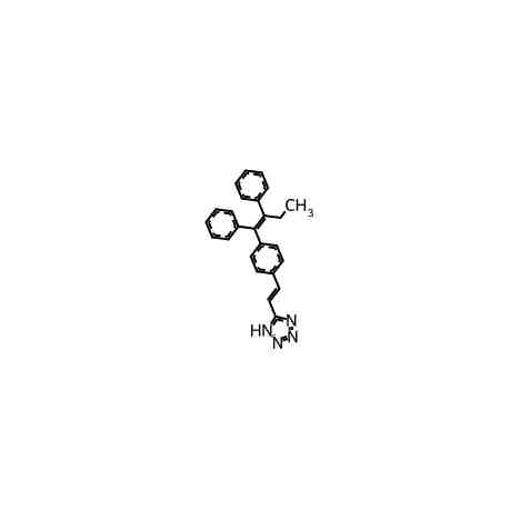 CCC(=C(c1ccccc1)c1ccc(C=Cc2nnn[nH]2)cc1)c1ccccc1